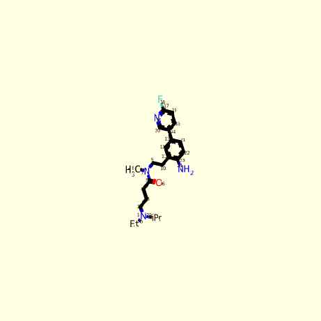 CCN(CCCC(=O)N(C)CCc1cc(-c2ccc(F)nc2)ccc1N)C(C)C